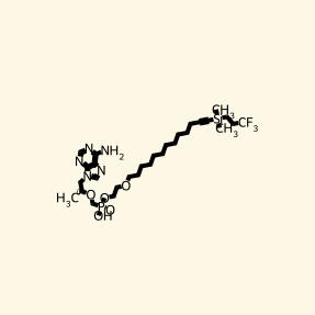 C[C@H](Cn1cnc2c(N)ncnc21)OCP(=O)(O)OCCOCCCCCCCCCCCC#C[Si](C)(C)CCC(F)(F)F